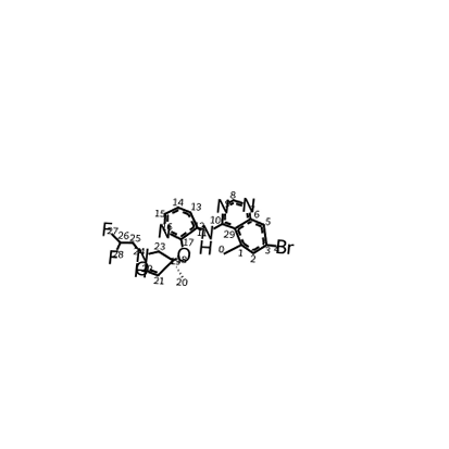 Cc1cc(Br)cc2ncnc(Nc3cccnc3O[C@@](C)(C=O)CNCC(F)F)c12